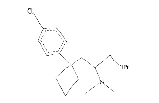 CC(C)CC(CC1(c2ccc(Cl)cc2)CCC1)N(C)C